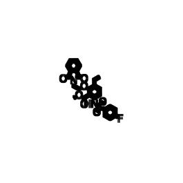 CCc1ccc(NS(=O)(=O)c2ccc(F)cc2)c(C(=O)OC)c1OCCN1C(=O)c2ccccc2C1=O